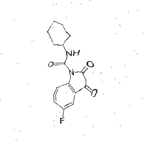 O=C1C(=O)N(C(=O)NC2CCCCC2)c2ccc(F)cc21